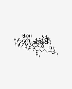 C=C(C)CCC[C@H](C)[C@H](O[Si](C)(C)C(C)(C)C)[C@@H](C)C(=O)C(C)(C)[C@H](CCO)O[Si](C)(C)C(C)(C)C